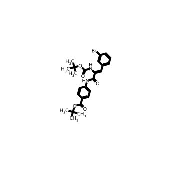 CC(C)(C)OC(=O)NC(=Cc1cccc(Br)c1)C(=O)Nc1ccc(C(=O)OC(C)(C)C)cc1